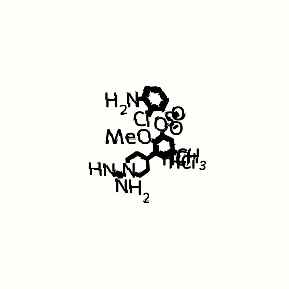 COc1c(OS(=O)(=O)c2cccc(N)c2Cl)cc(C)cc1C1CCN(C(=N)N)CC1.Cl.Cl